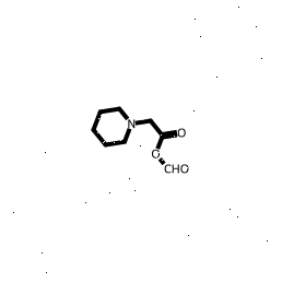 O=COC(=O)CN1CCCCC1